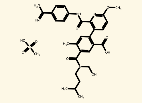 COc1ccc(-c2cc(C)c(C(=O)N(CO)CCC(C)C)cc2C(=O)O)c(C(=O)Nc2ccc(C(=N)N)cc2)n1.CS(=O)(=O)O